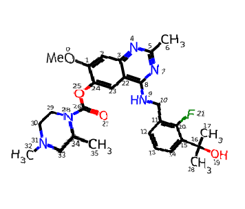 COc1cc2nc(C)nc(NCc3cccc(C(C)(C)O)c3F)c2cc1OC(=O)N1CCN(C)CC1C